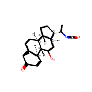 CC(N=C=O)[C@H]1CC[C@H]2[C@@H]3CCC4=CC(=O)C=C[C@]4(C)[C@H]3C(O)C[C@]12C